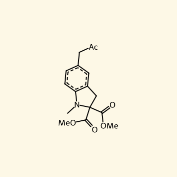 COC(=O)C1(C(=O)OC)Cc2cc(CC(C)=O)ccc2N1C